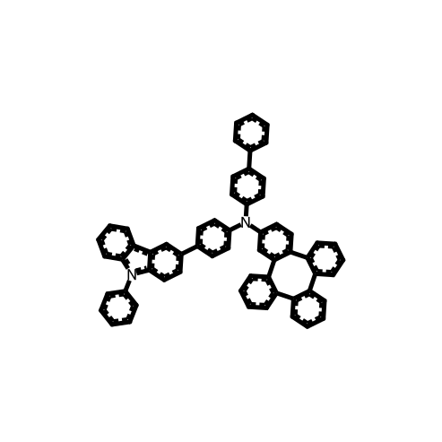 c1ccc(-c2ccc(N(c3ccc(-c4ccc5c(c4)c4ccccc4n5-c4ccccc4)cc3)c3ccc4c(c3)-c3ccccc3-c3ccccc3-c3ccccc3-4)cc2)cc1